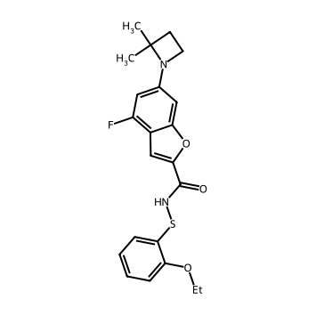 CCOc1ccccc1SNC(=O)c1cc2c(F)cc(N3CCC3(C)C)cc2o1